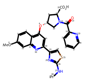 COc1ccc2c(O[C@@H]3C[C@@H](C(=O)O)N(C(=O)c4ccccn4)C3)cc(-c3csc(NC(C)C)n3)nc2c1